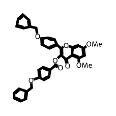 COc1cc(OC)c2c(=O)c(OC(=O)c3ccc(OCc4ccccc4)cc3)c(-c3ccc(OCc4ccccc4)cc3)oc2c1